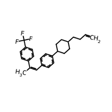 C=CCCC1CCC(c2ccc(C=C(C)c3ccc(C(F)(F)F)cc3)cc2)CC1